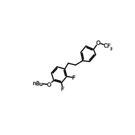 CCCCOc1ccc(CCc2ccc(OC(F)(F)F)cc2)c(F)c1F